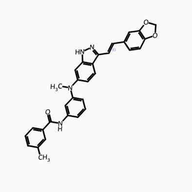 Cc1cccc(C(=O)Nc2cccc(N(C)c3ccc4c(/C=C/c5ccc6c(c5)OCO6)n[nH]c4c3)c2)c1